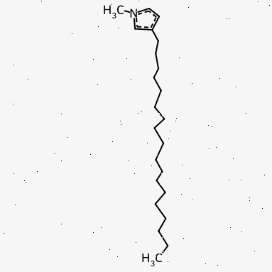 CCCCCCCCCCCCCCCCCCc1ccn(C)c1